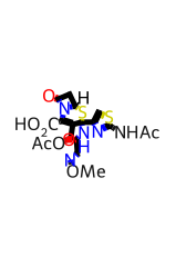 CON=CC(=O)NC1(c2csc(NC(C)=O)n2)S[C@@H]2CC(=O)N2C(C(=O)O)=C1COC(C)=O